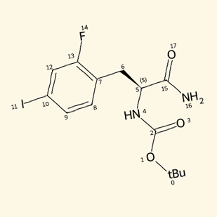 CC(C)(C)OC(=O)N[C@@H](Cc1ccc(I)cc1F)C(N)=O